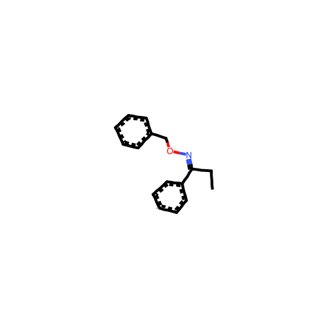 CCC(=NOCc1ccccc1)c1cc[c]cc1